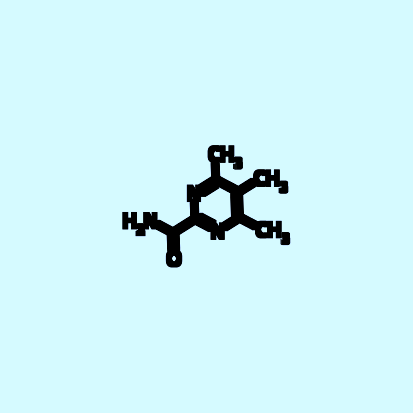 Cc1nc(C(N)=O)nc(C)c1C